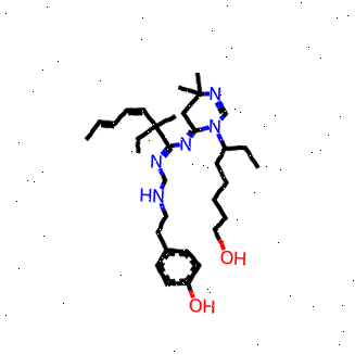 C/C=C/C=C\C(C)(CC)C(=N/CNCCc1ccc(O)cc1)/N=C1\CC(C)(C)N=CN1C(CC)CCCCCO